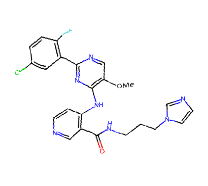 COc1cnc(-c2cc(Cl)ccc2F)nc1Nc1ccncc1C(=O)NCCCn1ccnc1